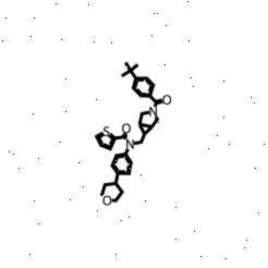 CC(C)(C)c1ccc(C(=O)N2CC3C(C2)C3CN(C(=O)c2cccs2)c2ccc(C3CCOCC3)cc2)cc1